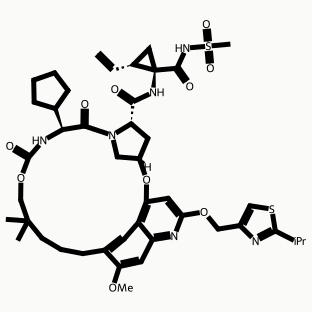 C=C[C@@H]1C[C@]1(NC(=O)[C@@H]1C[C@@H]2CN1C(=O)[C@H](C1CCCC1)NC(=O)OCC(C)(C)CCCc1cc3c(cc(OCc4csc(C(C)C)n4)nc3cc1OC)O2)C(=O)NS(C)(=O)=O